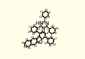 c1ccc(C2=NC(c3ccccc3)NC(c3ccccc3-c3ccc(-c4ccccc4)c4oc5cc6cnccc6cc5c34)N2)cc1